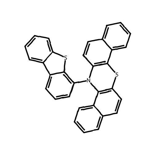 c1ccc2c3c(ccc2c1)N(c1cccc2c1sc1ccccc12)c1c(ccc2ccccc12)S3